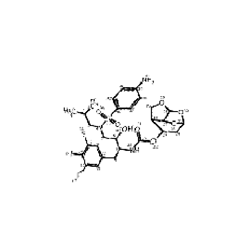 CC(C)CN(C[C@@H](O)[C@H](Cc1cc(F)c(F)c(F)c1)NC(=O)OC1CC2CC3C(OCC13)O2)S(=O)(=O)c1ccc(N)cc1